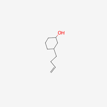 C=CCCC1CCCC(O)C1